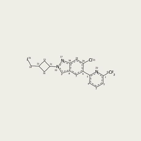 FC(F)(F)c1cccc(-c2cc3cn(C4CC(CI)C4)nc3cc2Cl)n1